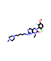 CCN1C(=O)N(c2c(Cl)ccc(OC)c2F)Cc2cnc(NCCCCCN3CCN(C)CC3)nc21